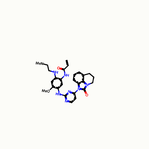 C=CC(=O)Nc1cc(Nc2nccc(-n3c(=O)n4c5c(cccc53)CCC4)n2)c(OC)cc1NCCNC